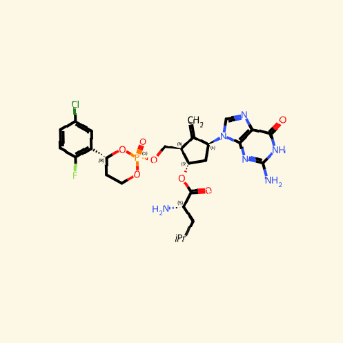 C=C1[C@H](CO[P@]2(=O)OCC[C@H](c3cc(Cl)ccc3F)O2)[C@@H](OC(=O)[C@@H](N)CC(C)C)C[C@@H]1n1cnc2c(=O)[nH]c(N)nc21